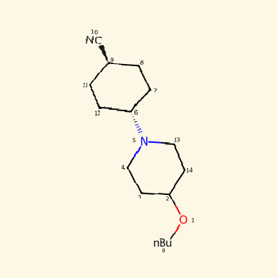 CCCCOC1CCN([C@H]2CC[C@H](C#N)CC2)CC1